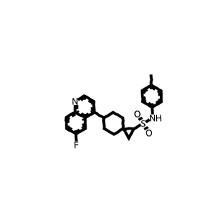 Cc1ccc(NS(=O)(=O)C2CC23CCC(c2ccnc4ccc(F)cc24)CC3)cc1